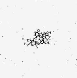 COC/C(=C(/N)COc1ccc(Cl)c2c1[C@@H](CN1C[C@H](C)CC1O)N(C(=O)[C@@H]1CCCC[C@]1(C)C(=O)O)CC2)N(C)N